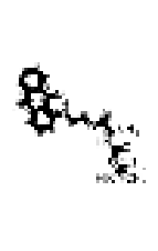 C[C@H](NC(=O)OC(C)(C)C)C(=O)OCCNc1cccc2c1C(=O)c1ccccc1C2=O